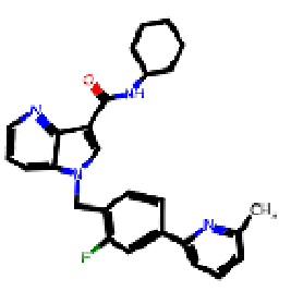 Cc1cccc(-c2ccc(Cn3cc(C(=O)NC4CCCCC4)c4ncccc43)c(F)c2)n1